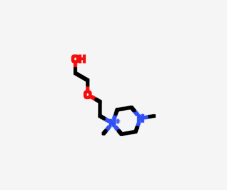 CN1CC[N+](C)(CCOCCO)CC1